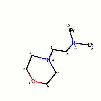 CCN(CCN1CCOCC1)C(C)C